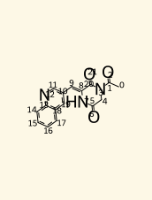 CC(=O)N1CC(=O)NC(=Cc2cnc3ccccc3c2)C1=O